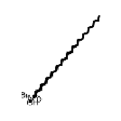 CCCCCCCCCCCCCCCCCCCCCCCCCC(=O)N(O)Br